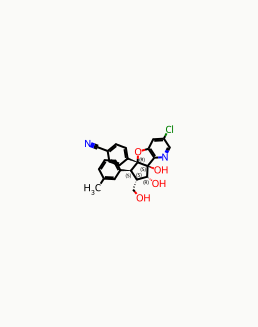 Cc1cccc([C@@H]2[C@@H](CO)[C@@H](O)[C@@]3(O)c4ncc(Cl)cc4O[C@@]23c2ccc(C#N)cc2)c1